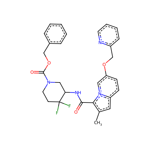 Cc1cc2ccc(OCc3ccccn3)cn2c1C(=O)NC1CN(C(=O)OCc2ccccc2)CCC1(F)F